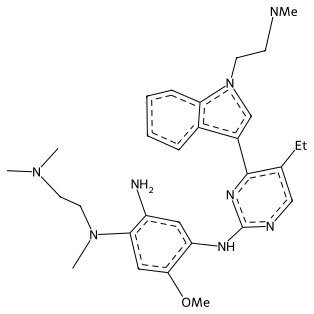 CCc1cnc(Nc2cc(N)c(N(C)CCN(C)C)cc2OC)nc1-c1cn(CCNC)c2ccccc12